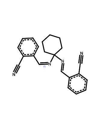 N#Cc1ccccc1C=NC1(/N=C\c2ccccc2C#N)CCCCC1